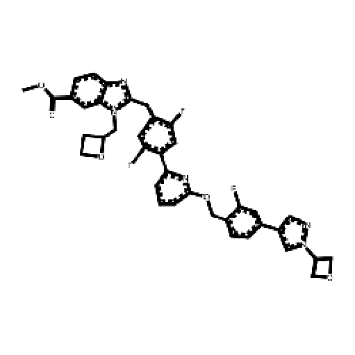 COC(=O)c1ccc2nc(Cc3cc(F)c(-c4cccc(OCc5ccc(-c6cnn(C7COC7)c6)cc5F)n4)cc3F)n(CC3CCO3)c2c1